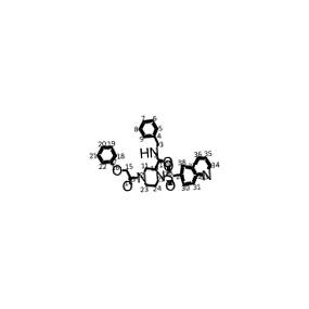 O=C(NCc1ccccc1)C1CN(C(=O)COc2ccccc2)CCN1S(=O)(=O)c1ccc2ncccc2c1